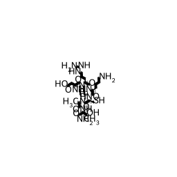 C[C@H](NC(=O)[C@H](CS)NC(=O)[C@H](CCCCN)NC(=O)[C@H](CCCNC(=N)N)NC(=O)[C@@H](N)CC(=O)O)C(=O)N[C@H](C(N)=O)[C@@H](C)O